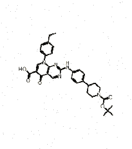 CCc1ccc(-n2cc(C(=O)O)c(=O)c3cnc(Nc4ccc(C5CCN(C(=O)OC(C)(C)C)CC5)cc4)nc32)cc1